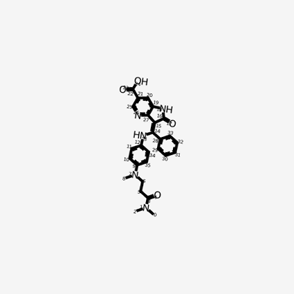 CN(C)C(=O)CCN(C)c1ccc(NC(=C2C(=O)Nc3cc(C(=O)O)cnc32)c2ccccc2)cc1